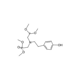 COP(CN(CCc1ccc(O)cc1)CP(=O)(OC)OC)OC